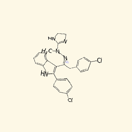 CN(/N=C(/Cc1ccc(Cl)cc1)c1c(-c2ccc(Cl)cc2)[nH]c2ccccc12)C1=NCCN1